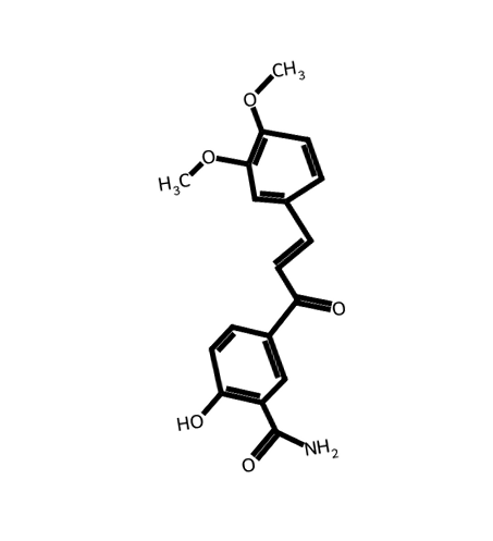 COc1ccc(/C=C/C(=O)c2ccc(O)c(C(N)=O)c2)cc1OC